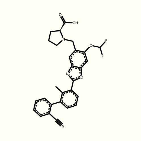 Cc1c(-c2nc3cc(CN4CCC[C@H]4C(=O)O)c(OC(F)F)cc3o2)cccc1-c1ccccc1C#N